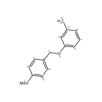 COc1ccc(COc2cccc(C)c2)cn1